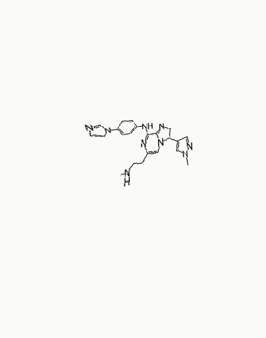 CNCCC1=CN2C(=NCC2c2cnn(C)c2)C(Nc2ccc(-n3ccnc3)cc2)=N1